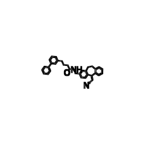 N#CC=C1c2ccccc2CCc2cc(CNC(=O)CCCc3cccc(-c4ccccc4)c3)ccc21